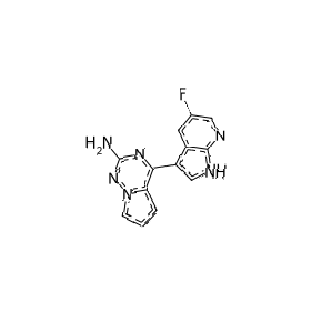 Nc1nc(-c2c[nH]c3ncc(F)cc23)c2cccn2n1